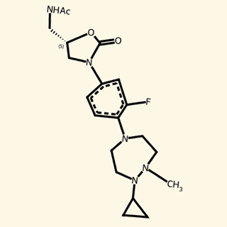 CC(=O)NC[C@H]1CN(c2ccc(N3CCN(C)N(C4CC4)CC3)c(F)c2)C(=O)O1